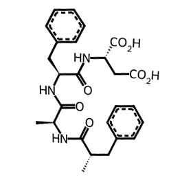 C[C@H](NC(=O)[C@@H](C)Cc1ccccc1)C(=O)N[C@@H](Cc1ccccc1)C(=O)N[C@@H](CC(=O)O)C(=O)O